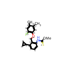 COC(=S)Nc1cccc(C2CC2)c1COc1cc(C)c(C)cc1F